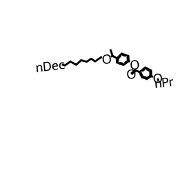 CCCCCCCCCCCCCCCCCCOC(C)c1ccc(OC(=O)c2ccc(OCCC)cc2)cc1